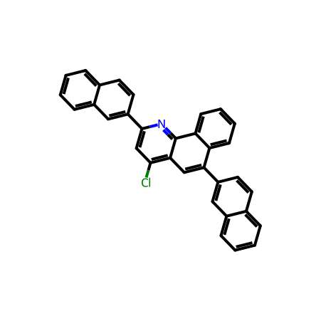 Clc1cc(-c2ccc3ccccc3c2)nc2c1cc(-c1ccc3ccccc3c1)c1ccccc12